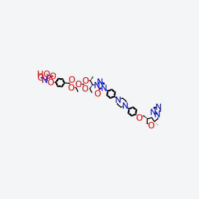 CC[C@@H]([C@H](C)OC(=O)OC(C)OC(=O)c1ccc(OP(=O)(O)N=O)cc1)n1ncn(-c2ccc(N3CCN(c4ccc(OC[C@@H]5CO[C@](C)(Cn6cncn6)C5)cc4)CC3)cc2)c1=O